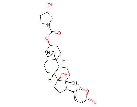 C[C@]12CC[C@H](OC(=O)N3CC[C@H](O)C3)C=C1CC[C@@H]1[C@@H]2CC[C@]2(C)[C@@H](c3ccc(=O)oc3)CC[C@]12O